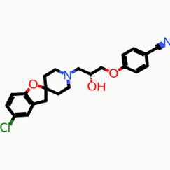 N#Cc1ccc(OC[C@H](O)CN2CCC3(CC2)Cc2cc(Cl)ccc2O3)cc1